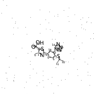 Cc1nc(-c2ccc(SC(C)C)c(-n3cnnn3)c2)sc1C(=O)O